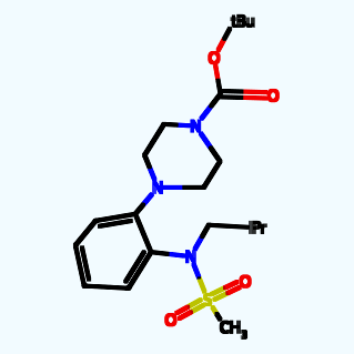 CC(C)CN(c1ccccc1N1CCN(C(=O)OC(C)(C)C)CC1)S(C)(=O)=O